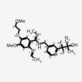 C/C=N/c1cc(OC)c(OCCOC)cc1/C(=N\C)NCc1ccnc(C(F)(F)C(C)(C)O)c1